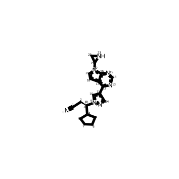 N#CC[C@H](C1CCCC1)n1cc(-c2ncnc3c2ccn3C2CN2)cn1